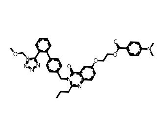 CCCc1nc2ccc(OCCOC(=O)c3ccc(N(C)C)cc3)cc2c(=O)n1Cc1ccc(-c2ccccc2-c2nnnn2COC)cc1